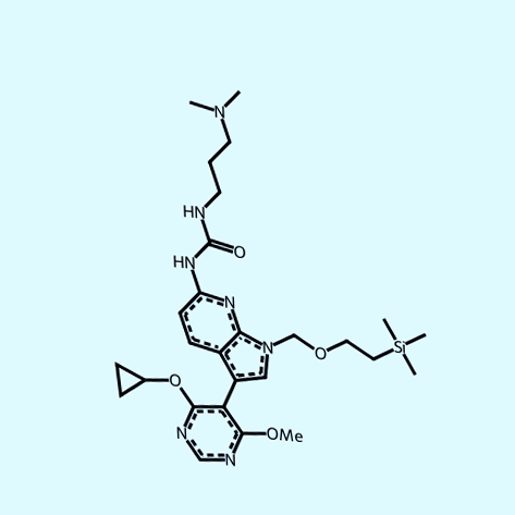 COc1ncnc(OC2CC2)c1-c1cn(COCC[Si](C)(C)C)c2nc(NC(=O)NCCCN(C)C)ccc12